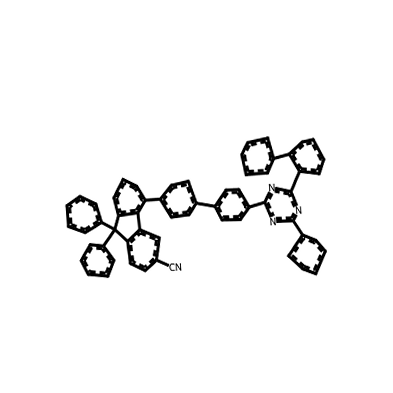 N#Cc1ccc2c(c1)-c1c(-c3ccc(-c4ccc(-c5nc(-c6ccccc6)nc(-c6ccccc6-c6ccccc6)n5)cc4)cc3)cccc1C2(c1ccccc1)c1ccccc1